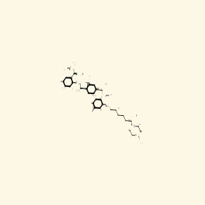 COc1cc(C(=O)N(C)c2ccc(C)cc2OCCCCCC(=O)N2CCN(C)CC2)ccc1C(=O)Nc1ccccc1C(=O)N(C)C